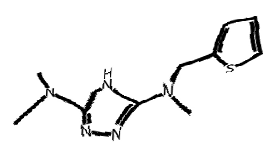 CN(C)c1nnc(N(C)Cc2cccs2)[nH]1